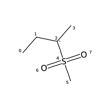 CC[C](C)S(C)(=O)=O